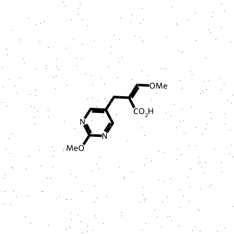 CO/C=C(/Cc1cnc(OC)nc1)C(=O)O